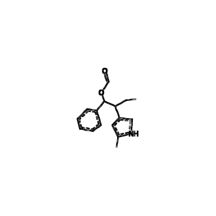 CCC(c1c[nH]c(C)c1)C(OC=O)c1ccccc1